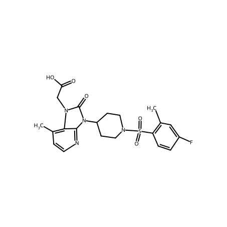 Cc1cc(F)ccc1S(=O)(=O)N1CCC(n2c(=O)n(CC(=O)O)c3c(C)ccnc32)CC1